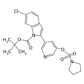 CC(C)(C)OC(=O)n1c(-c2cncc(OS(=O)(=O)N3CCCC3)c2)cc2ccc(Cl)cc21